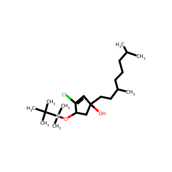 CC(C)CCCC(C)CCC1(O)C=C(Cl)C(O[Si](C)(C)C(C)(C)C)C1